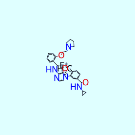 CC[C@H](Nc1nccn(-c2cc(C(=O)NC3CC3)ccc2C)c1=O)c1ccccc1OCCN1CCCC1